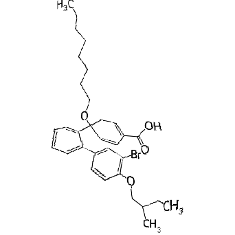 CCCCCCCCOC1(c2ccccc2-c2ccc(OCC(C)CC)c(Br)c2)C=CC(C(=O)O)=CC1